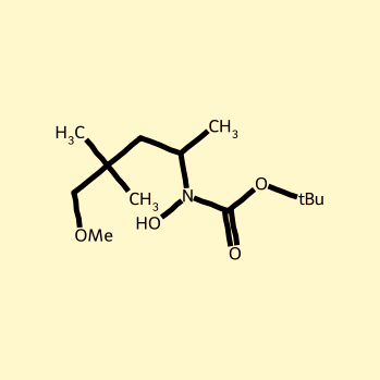 COCC(C)(C)CC(C)N(O)C(=O)OC(C)(C)C